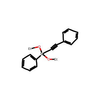 CCO[Si](C#Cc1ccccc1)(OCC)c1ccccc1